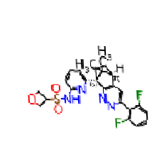 CC1(C)[C@H]2CC[C@]1(c1cccc(NS(=O)(=O)C3COC3)n1)c1nnc(-c3c(F)cccc3F)cc12